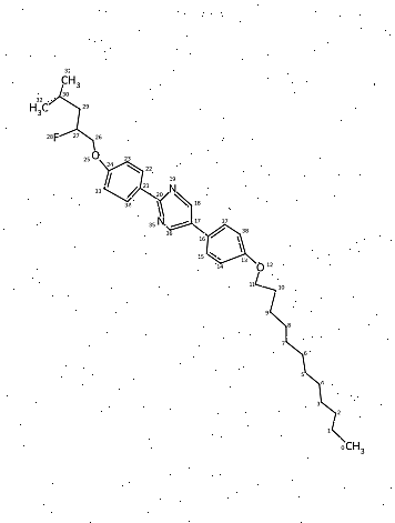 CCCCCCCCCCCCOc1ccc(-c2cnc(-c3ccc(OCC(F)CC(C)C)cc3)nc2)cc1